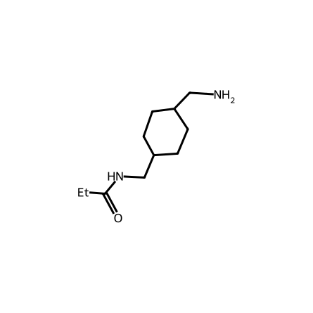 CCC(=O)NCC1CCC(CN)CC1